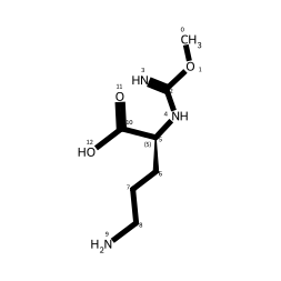 COC(=N)N[C@@H](CCCN)C(=O)O